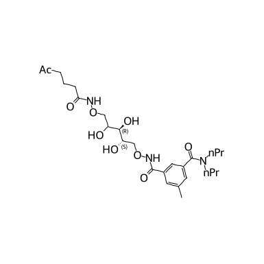 CCCN(CCC)C(=O)c1cc(C)cc(C(=O)NOC[C@H](O)[C@H](O)C(O)CONC(=O)CCCC(C)=O)c1